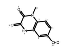 Cn1c(=O)c(=O)[nH]c2cc(C=O)ccc21